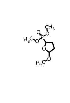 COC1CCC(P(=O)(OC)OC)O1